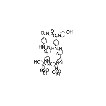 CCS(=O)(=O)N1CC(CC#N)(n2cc(-c3ccnc(Nc4ccc(C(=O)N5CCC(O)CC5)cc4)n3)cn2)C1.CCS(=O)(=O)N1CC(CC#N)(n2cc(-c3ccnc(Nc4ccc(C(=O)N5CCOCC5)cc4)n3)cn2)C1